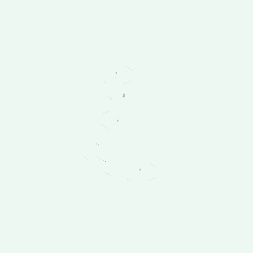 COc1ccc(NC/C=C\N=C(/N)NCc2ccc(C(=O)Nc3ccccc3N)cc2)cc1OC